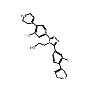 OCCn1c(-c2ccc(C3=CCNCC3)c(C(F)(F)F)c2)nnc1-c1ccc(C2=CCNCC2)c(C(F)(F)F)c1